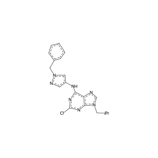 CC(C)Cn1cnc2c(Nc3cnn(Cc4ccccc4)c3)nc(Cl)nc21